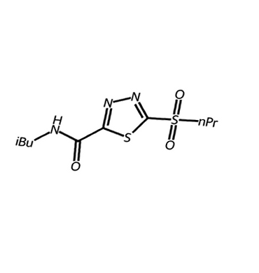 CCCS(=O)(=O)c1nnc(C(=O)NC(C)CC)s1